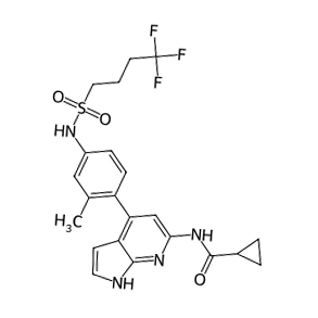 Cc1cc(NS(=O)(=O)CCCC(F)(F)F)ccc1-c1cc(NC(=O)C2CC2)nc2[nH]ccc12